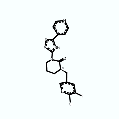 O=C1[C@@H](Cc2cnc(Cl)c(F)c2)CCCN1c1nnc(-c2ccncc2)[nH]1